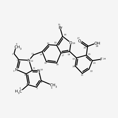 CCc1nc2c(C)cc(C)nc2n1Cc1ccc2c(-c3cccc(F)c3C(=O)O)oc(Br)c2c1